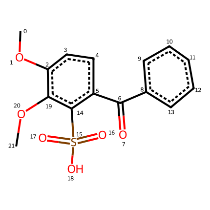 COc1ccc(C(=O)c2ccccc2)c(S(=O)(=O)O)c1OC